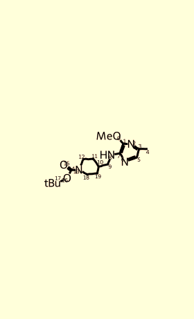 COc1nc(C)cnc1NCC1CCN(C(=O)OC(C)(C)C)CC1